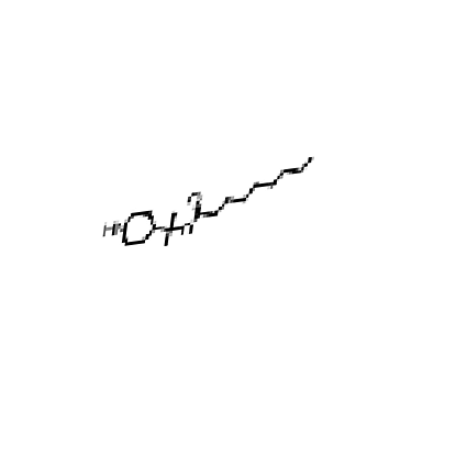 CCCCCCCCC(=O)OC(C)(C)C1CCNCC1